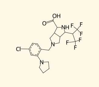 O=C(O)C1NC(C(C(F)(F)F)C(F)(F)F)C2CN(Cc3ccc(Cl)cc3N3CCCC3)CC12